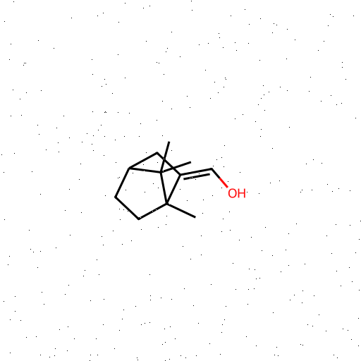 CC12CCC(C/C1=C/O)C2(C)C